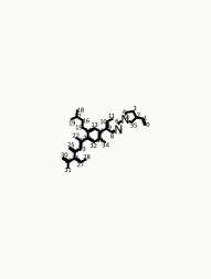 C=CC1CCN(C/N=C\C(=C/C)c2cc(CCC(C)C)c(/C(C)=C/C(=C)/C(=C\C)C(=C)C)cc2C)C1